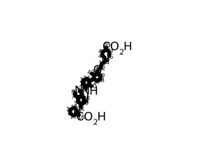 Cc1c(Nc2nccc3cc(CN4CCCCC4C(=O)O)cnc23)cccc1-c1cccc(OCCCN2CCC(C(=O)O)CC2)c1C